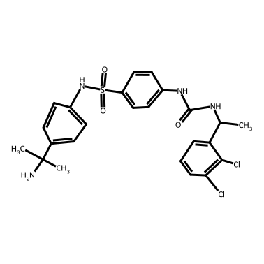 CC(NC(=O)Nc1ccc(S(=O)(=O)Nc2ccc(C(C)(C)N)cc2)cc1)c1cccc(Cl)c1Cl